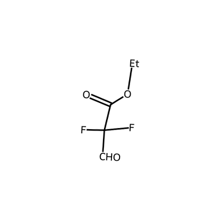 CCOC(=O)C(F)(F)C=O